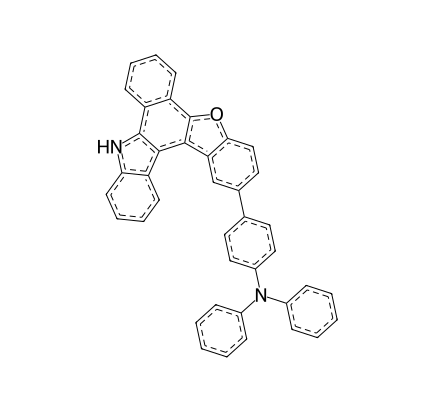 c1ccc(N(c2ccccc2)c2ccc(-c3ccc4oc5c6ccccc6c6[nH]c7ccccc7c6c5c4c3)cc2)cc1